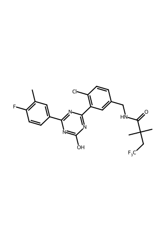 Cc1cc(-c2nc(O)nc(-c3cc(CNC(=O)C(C)(C)CC(F)(F)F)ccc3Cl)n2)ccc1F